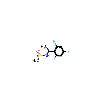 CC(N[S@+](C)[O-])c1c(F)cc(F)cc1F